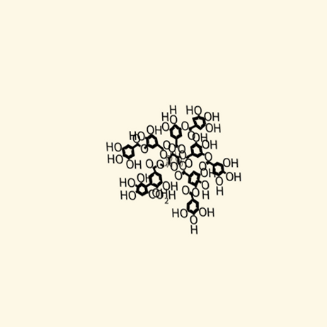 O=C(OC[C@H]1O[C@H](OC(=O)c2cc(O)c(O)c(OC(=O)c3cc(O)c(O)c(O)c3)c2)[C@H](OC(=O)c2cc(O)c(O)c(OC(=O)c3cc(O)c(O)c(O)c3)c2)[C@@H](OC(=O)c2cc(O)c(O)c(OC(=O)c3cc(O)c(O)c(O)c3)c2)[C@@H]1OC(=O)c1cc(O)c(O)c(OC(=O)c2cc(O)c(O)c(O)c2)c1)c1cc(O)c(O)c(-c2c(C(=O)O)cc(O)c(O)c2O)c1